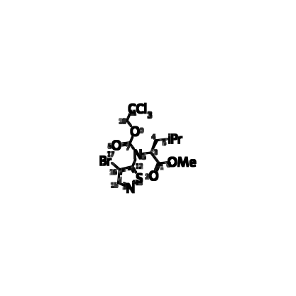 COC(=O)[C@H](CC(C)C)N(C(=O)OCC(Cl)(Cl)Cl)c1sncc1Br